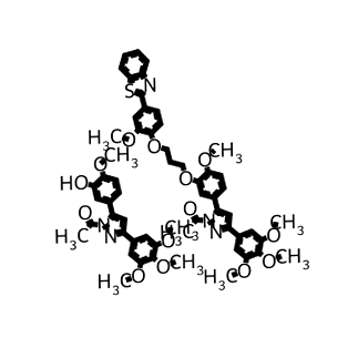 COc1cc(-c2nc3ccccc3s2)ccc1OCCCOc1cc(-c2cc(-c3cc(OC)c(OC)c(OC)c3)nn2C(C)=O)ccc1OC.COc1ccc(-c2cc(-c3cc(OC)c(OC)c(OC)c3)nn2C(C)=O)cc1O